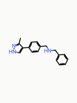 Cc1n[nH]cc1-c1ccc(CNCc2ccccc2)cc1